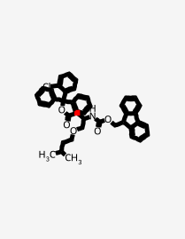 CC(C)CCOCC(CC(=O)OC(c1ccccc1)(c1ccccc1)c1ccccc1Cl)NC(=O)OCC1c2ccccc2-c2ccccc21